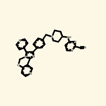 N#Cc1nccc(NC2CCN(Cc3ccc(-c4nc5n(c4-c4ccncc4)COc4ccncc4-5)cc3)CC2)n1